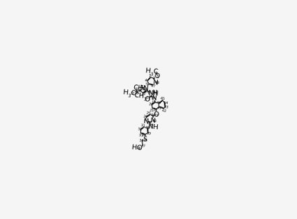 COc1ccc(-n2nc(C(C)(C)C)cc2NC(=O)Nc2ccc(Oc3ccnc(Nc4cccc(SCCO)c4)n3)c3ccccc23)cn1